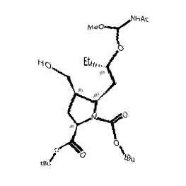 CC[C@@H](C[C@@H]1[C@H](CO)C[C@H](C(=O)OC(C)(C)C)N1C(=O)OC(C)(C)C)OC(NC(C)=O)OC